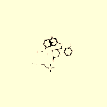 CC(C)Oc1ccc(F)c(F)c1[C@@H]1NC(=O)C[C@@H](c2cccc(Cl)c2)[C@]12C(=O)Nc1cc(Cl)ccc12.COCC[Si](C)(C)C